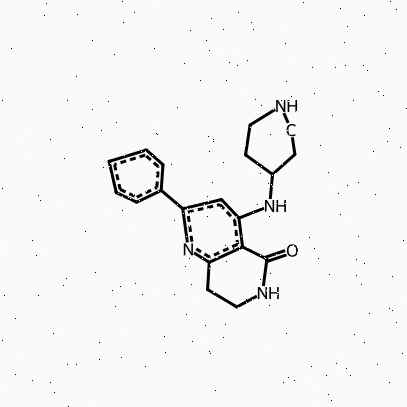 O=C1NCCc2nc(-c3ccccc3)cc(NC3CCNCC3)c21